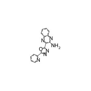 Nc1nc2ccccc2nc1-c1nnc(-c2ccccn2)o1